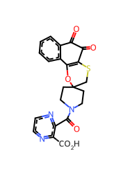 O=C1C(=O)c2ccccc2C2=C1SCC1(CCN(C(=O)c3nccnc3C(=O)O)CC1)O2